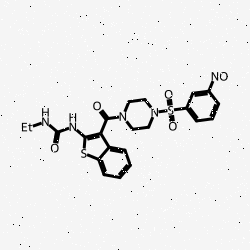 CCNC(=O)Nc1sc2ccccc2c1C(=O)N1CCN(S(=O)(=O)c2cccc(N=O)c2)CC1